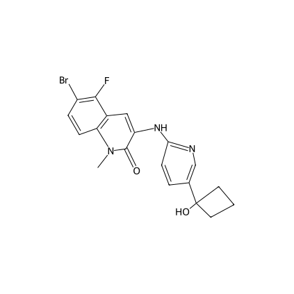 Cn1c(=O)c(Nc2ccc(C3(O)CCC3)cn2)cc2c(F)c(Br)ccc21